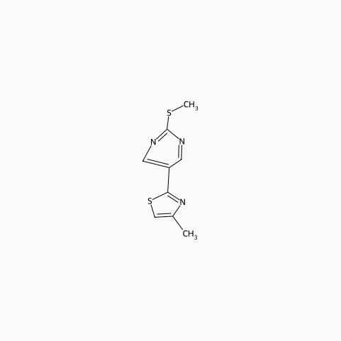 CSc1ncc(-c2nc(C)cs2)cn1